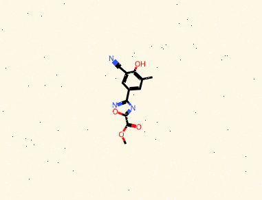 COC(=O)c1nc(-c2cc(C)c(O)c(C#N)c2)no1